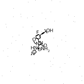 CN1CCC(NC(=O)c2c(C(N)=O)nc3n2CCOc2cc(F)c(C#CC(C)(C)O)cc2-3)C1